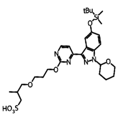 CC(COCCCOc1nccc(-c2nn(C3CCCCO3)c3ccc(O[Si](C)(C)C(C)(C)C)cc23)n1)CS(=O)(=O)O